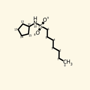 CCCCCCCS(=O)(=O)NC1CCCC1